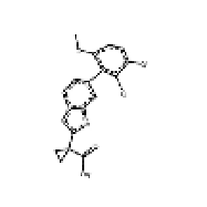 COc1ccc(Cl)c(Cl)c1-c1ccn2cc(C3(C(=O)O)CC3)nc2c1